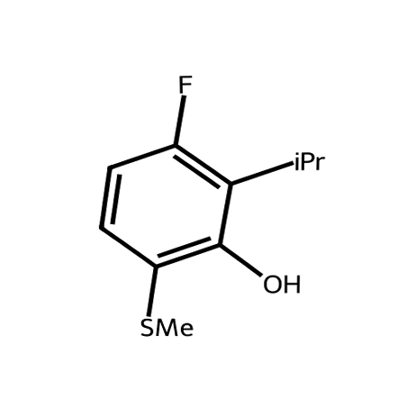 CSc1ccc(F)c(C(C)C)c1O